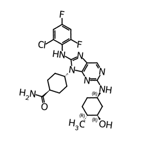 C[C@@H]1CC[C@@H](Nc2ncc3nc(Nc4c(F)cc(F)cc4Cl)n([C@H]4CC[C@H](C(N)=O)CC4)c3n2)C[C@H]1O